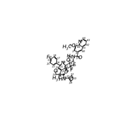 COc1cc(C(=O)NCC(O)(c2cc3c(c(-c4ccc(F)cc4)n2)OC[C@]3(C)C(=O)NC23CC(C2)C3)C(F)(F)F)cc2cccnc12